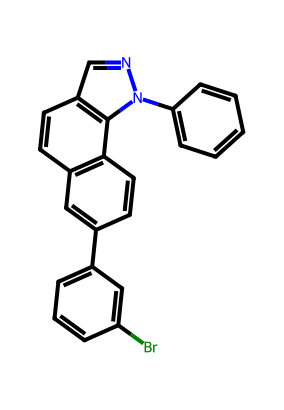 Brc1cccc(-c2ccc3c(ccc4cnn(-c5ccccc5)c43)c2)c1